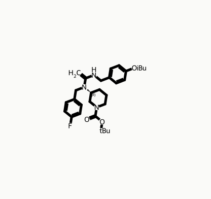 C=C(NCc1ccc(OCC(C)C)cc1)N(Cc1ccc(F)cc1)[C@@H]1CCCN(C(=O)OC(C)(C)C)C1